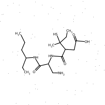 CCCC(CC)NC(=O)C(CN)NC(=O)C(CC(=O)O)C(C)(S)CC